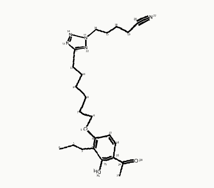 CCCc1c(OCCCCCCc2nnn(CCCCC#N)n2)ccc(C(C)=O)c1O